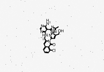 Cc1noc(-c2c(N)ncnc2N[C@@H](C)c2cc3cccc(Cl)c3c(=O)n2-c2cc(CO)[nH]n2)n1